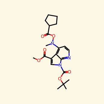 COC(=O)c1cn(C(=O)OC(C)(C)C)c2nccc(N(C)OC(=O)C3CCCC3)c12